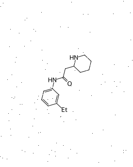 CCc1cccc(NC(=O)CC2CCCCN2)c1